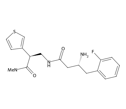 CNC(=O)[C@H](CNC(=O)C[C@H](N)Cc1ccccc1F)c1ccsc1